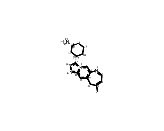 CC1=CC=Nc2cn3c([C@H]4CCC[C@@H](N)C4)nnc3cc2C1